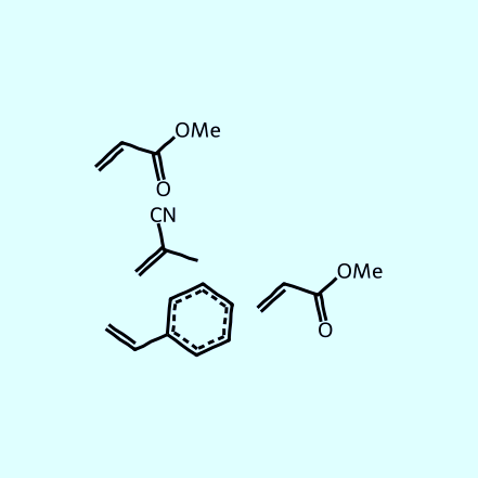 C=C(C)C#N.C=CC(=O)OC.C=CC(=O)OC.C=Cc1ccccc1